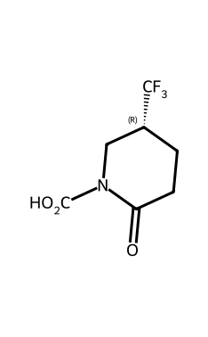 O=C(O)N1C[C@H](C(F)(F)F)CCC1=O